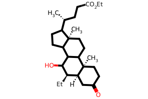 CCOC(=O)CC[C@@H](C)C1CCC2C3C(O)[C@H](CC)[C@@H]4CC(=O)CC[C@]4(C)C3CC[C@@]21C